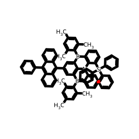 Cc1cc(C)c(B2c3ccccc3N3c4c2cc(-c2c5ccccc5c(-c5ccccc5)c5ccccc25)cc4B(c2c(C)cc(C)cc2C)c2cccc([Si](c4ccccc4)(c4ccccc4)c4ccccc4)c23)c(C)c1